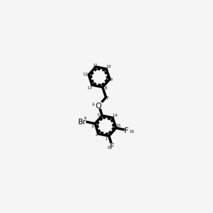 Fc1cc(Br)c(OCc2ccccc2)cc1F